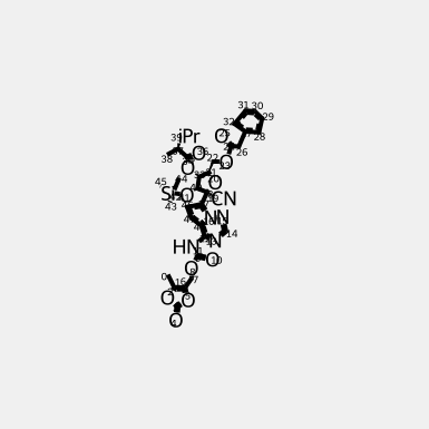 Cc1oc(=O)oc1COC(=O)Nc1ncnn2c([C@]3(C#N)O[C@H](COC(=O)Cc4ccccc4)[C@@H](OC(=O)[C@@H](C)C(C)C)[C@H]3O[Si](C)(C)C)ccc12